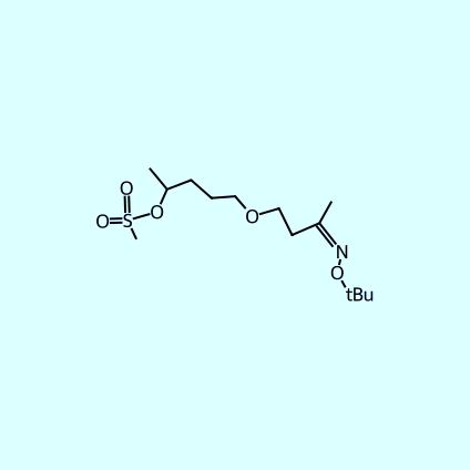 CC(CCOCCCC(C)OS(C)(=O)=O)=NOC(C)(C)C